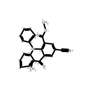 COC(=O)c1cc(C#N)cc(C(=O)OC)c1N(c1ccccc1)c1ccccc1